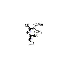 CC/C=C(CC)/N=C(/Cl)N(C)OC